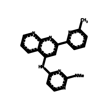 CNc1nccc(Nc2cc(-c3cccc(C)n3)nc3ncccc23)n1